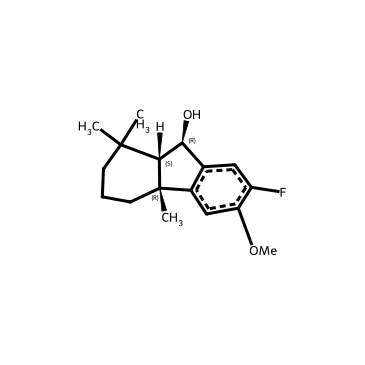 COc1cc2c(cc1F)[C@H](O)[C@H]1C(C)(C)CCC[C@@]21C